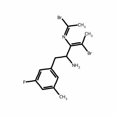 C/C(Br)=N\C(=C(/C)Br)C(N)Cc1cc(C)cc(F)c1